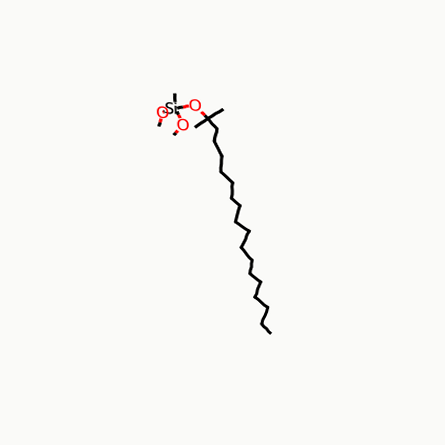 CCCCCCCCCCCCCCCCCC(C)(C)O[Si](C)(OC)OC